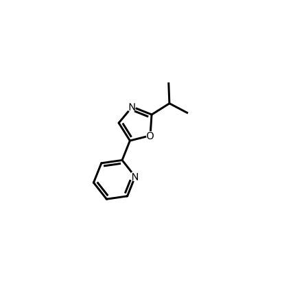 CC(C)c1ncc(-c2ccccn2)o1